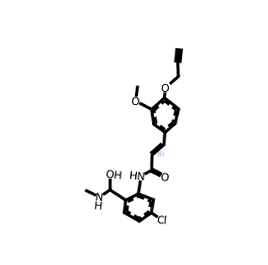 C#CCOc1ccc(/C=C/C(=O)Nc2cc(Cl)ccc2C(O)NC)cc1OC